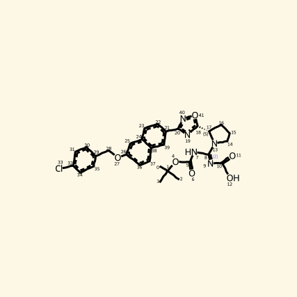 CC(C)(C)OC(=O)N/C(=N/C(=O)O)N1CCC[C@H]1c1nc(-c2ccc3cc(OCc4ccc(Cl)cc4)ccc3c2)no1